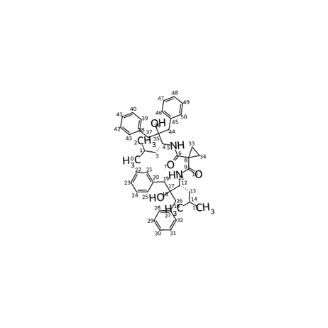 CC(C)C[C@@H](NC(=O)C1(C(=O)N[C@H](CC(C)C)C(O)(Cc2ccccc2)Cc2ccccc2)CC1)C(O)(Cc1ccccc1)Cc1ccccc1